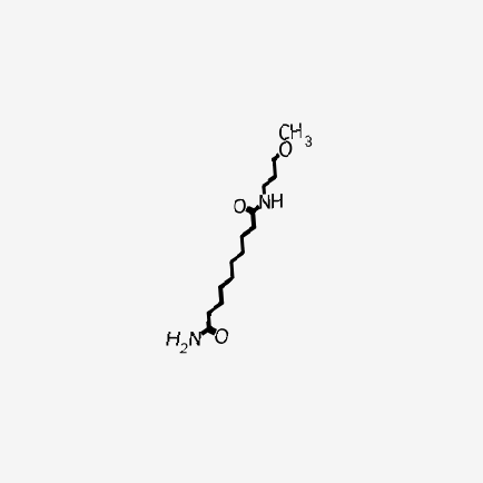 COCCCNC(=O)CCCCCCCCC(N)=O